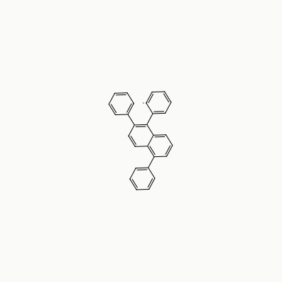 [c]1ccccc1-c1c(-c2ccccc2)ccc2c(-c3ccccc3)cccc12